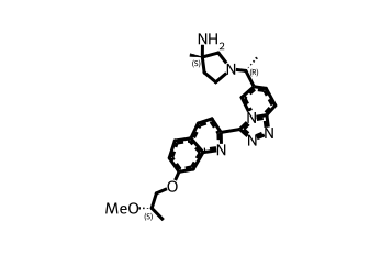 CO[C@@H](C)COc1ccc2ccc(-c3nnc4ccc([C@@H](C)N5CC[C@](C)(N)C5)cn34)nc2c1